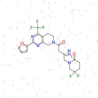 N[C@@H](CC(=O)N1CCc2c(nc(-c3ccco3)nc2C(F)(F)F)C1)CN1CC(F)(F)CCC1=O